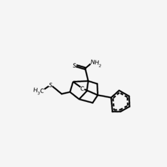 CSCC1C2CC3(c4ccccc4)CC1C(C(N)=S)(C2)C3